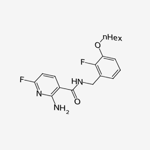 CCCCCCOc1cccc(CNC(=O)c2ccc(F)nc2N)c1F